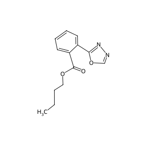 CCCCOC(=O)c1ccccc1-c1nnco1